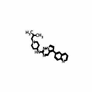 CC(C)CN1CCC(Nc2ncc3c(-c4ccc5ncccc5c4)ccn3n2)CC1